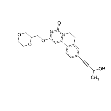 CC(O)C#Cc1ccc2c(c1)CCn1c-2cc(OCC2COCCO2)nc1=O